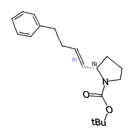 CC(C)(C)OC(=O)N1CCC[C@H]1/C=C/CCc1ccccc1